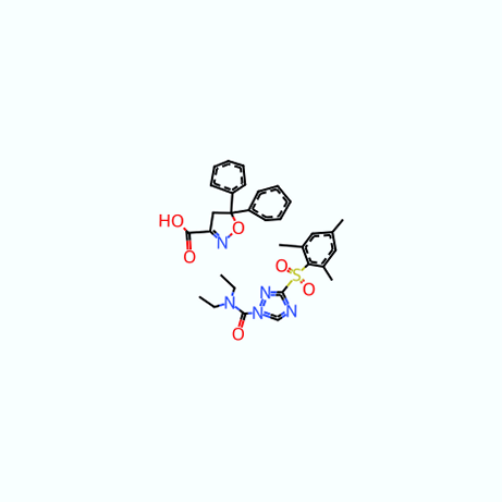 CCN(CC)C(=O)n1cnc(S(=O)(=O)c2c(C)cc(C)cc2C)n1.O=C(O)C1=NOC(c2ccccc2)(c2ccccc2)C1